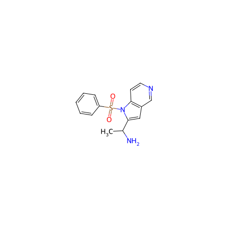 CC(N)c1cc2cnccc2n1S(=O)(=O)c1ccccc1